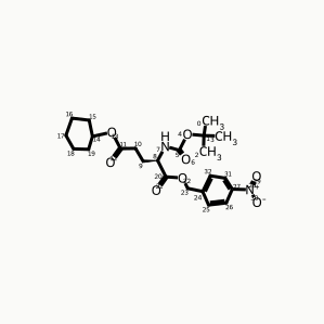 CC(C)(C)OC(=O)N[C@H](CCC(=O)OC1CCCCC1)C(=O)OCc1ccc([N+](=O)[O-])cc1